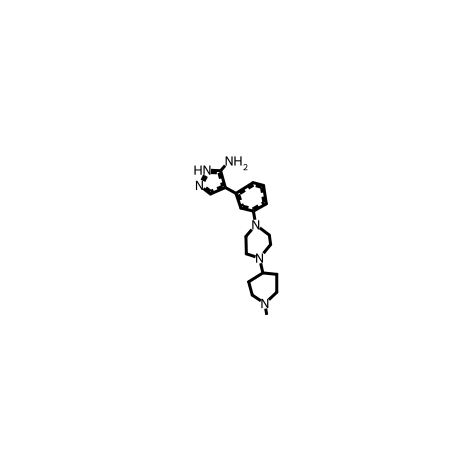 CN1CCC(N2CCN(c3cccc(-c4cn[nH]c4N)c3)CC2)CC1